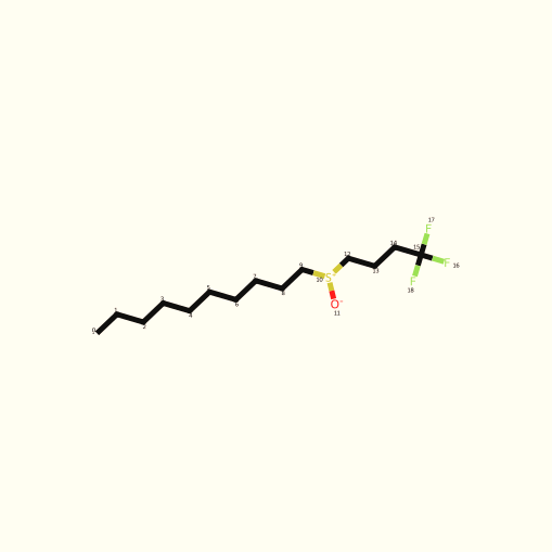 [CH2]CCCCCCCCC[S+]([O-])CCCC(F)(F)F